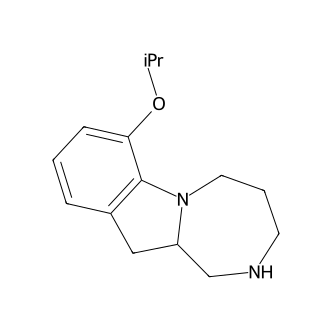 CC(C)Oc1cccc2c1N1CCCNCC1C2